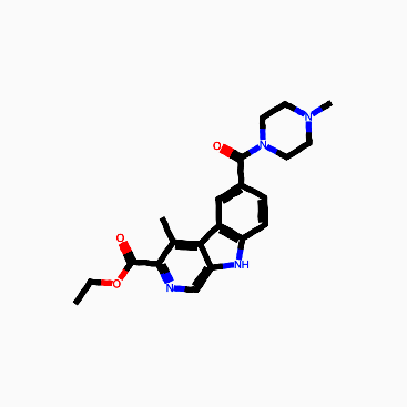 CCOC(=O)c1ncc2[nH]c3ccc(C(=O)N4CCN(C)CC4)cc3c2c1C